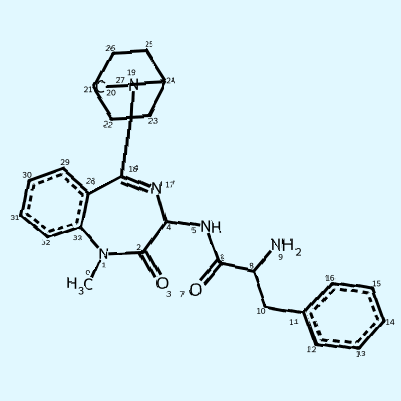 CN1C(=O)C(NC(=O)C(N)Cc2ccccc2)N=C(N2CC3CCC(CC3)C2)c2ccccc21